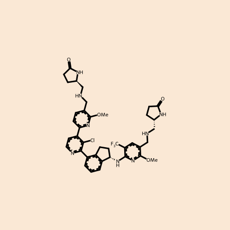 COc1nc(-c2ccnc(-c3cccc4c3CC[C@@H]4Nc3nc(OC)c(CNC[C@@H]4CCC(=O)N4)cc3C(F)(F)F)c2Cl)ccc1CNC[C@H]1CCC(=O)N1